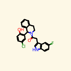 O=C(Cc1c[nH]c2ccc(F)cc12)N1CCc2ccccc2C1c1cc(Cl)ccc1O